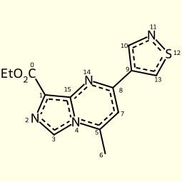 CCOC(=O)c1ncn2c(C)cc(-c3cnsc3)nc12